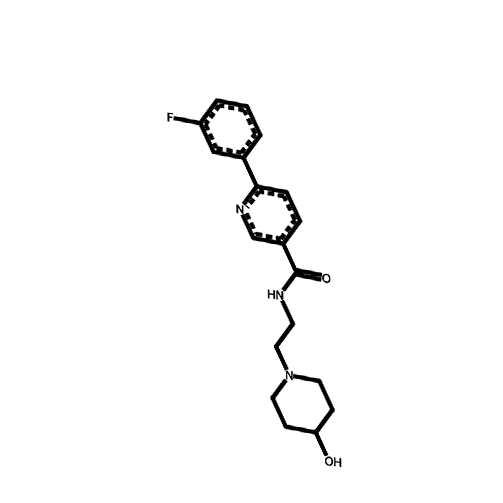 O=C(NCCN1CCC(O)CC1)c1ccc(-c2cccc(F)c2)nc1